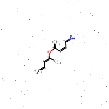 C=C/C=C(\C)OC(=C)/C=C\C=N